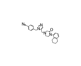 N#Cc1ccc(Cn2cncc2CN2CCN(c3cccc4c3CCCC4)C(=O)C2)cc1